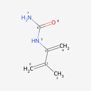 C=C(C)C(=C)NC(N)=O